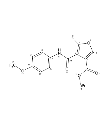 CCCOC(=O)c1noc(C)c1C(=O)Nc1ccc(OC(F)(F)F)cc1